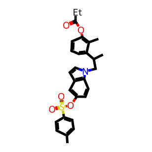 CCC(=O)Oc1cccc(C(C)Cn2ccc3cc(OS(=O)(=O)c4ccc(C)cc4)ccc32)c1C